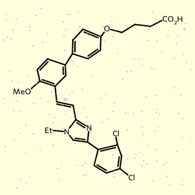 CCn1cc(-c2ccc(Cl)cc2Cl)nc1/C=C/c1cc(-c2ccc(OCCCC(=O)O)cc2)ccc1OC